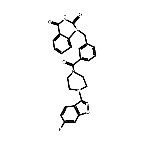 O=C(c1cccc(Cn2c(=O)[nH]c(=O)c3ccccc32)c1)N1CCN(c2noc3cc(F)ccc23)CC1